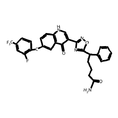 NC(=O)CCCC(c1ccccc1)c1nc(-c2c[nH]c3ccc(Cc4ccc(C(F)(F)F)cc4F)cc3c2=O)no1